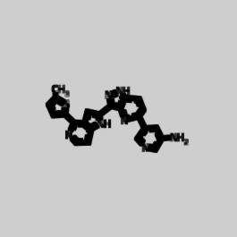 Cc1ccc(-c2nccc3[nH]c(-c4n[nH]c5ccc(-c6cncc(N)c6)nc45)cc23)s1